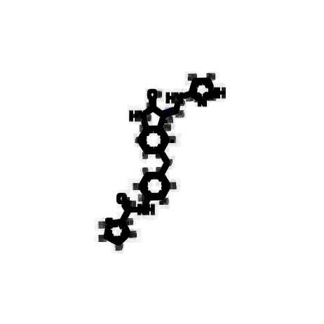 O=C1Nc2ccc(Cc3ccc(NC(=O)c4cccs4)cc3)cc2/C1=C/Nc1cc[nH]n1